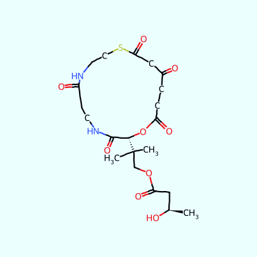 C[C@@H](O)CC(=O)OCC(C)(C)[C@H]1OC(=O)CCC(=O)CC(=O)SCCNC(=O)CCNC1=O